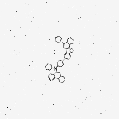 c1ccc(-c2cc3c4cc(-c5ccc(N(c6ccccc6)c6cc7ccccc7c7ccccc67)cc5)ccc4oc3c3ccccc23)cc1